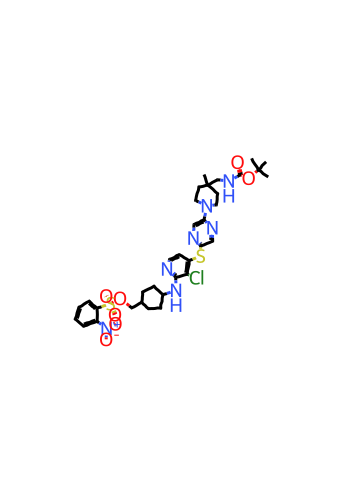 CC1(CNC(=O)OC(C)(C)C)CCN(c2cnc(Sc3ccnc(NC4CCC(COS(=O)(=O)c5ccccc5[N+](=O)[O-])CC4)c3Cl)cn2)CC1